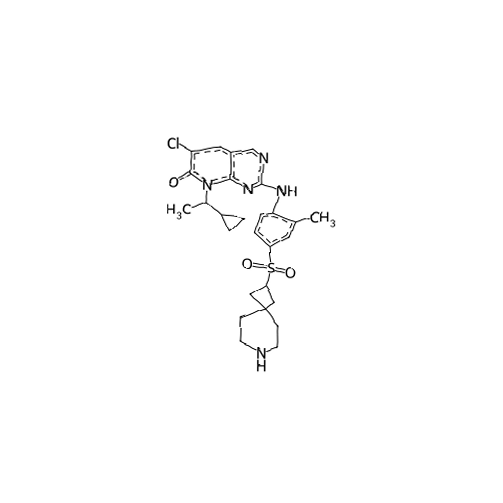 Cc1cc(S(=O)(=O)C2CC3(CCNCC3)C2)ccc1Nc1ncc2cc(Cl)c(=O)n(C(C)C3CC3)c2n1